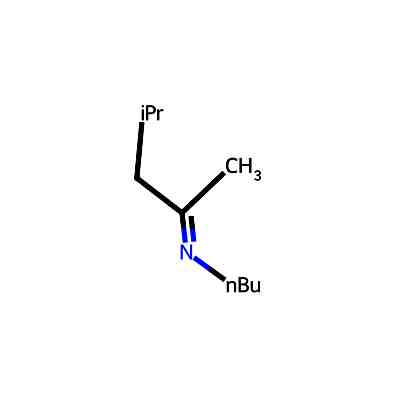 CCCC/N=C(\C)CC(C)C